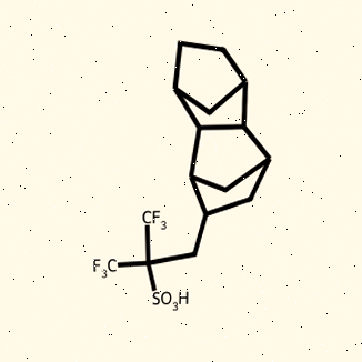 O=S(=O)(O)C(CC1CC2CC1C1C3CCC(C3)C21)(C(F)(F)F)C(F)(F)F